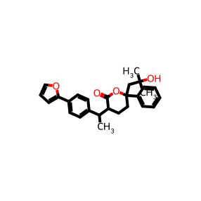 CC(c1ccc(-c2ccco2)cc1)C1CCC(CC(C)(C)O)(c2ccccc2)OC1=O